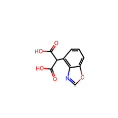 O=C(O)C(C(=O)O)c1cccc2o[c]nc12